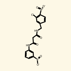 O=C(CC(=O)Nc1cccc([N+](=O)[O-])c1)NCc1ccc([N+](=O)[O-])c(Cl)c1